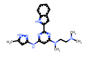 Cc1cc(Nc2cc(N(C)CCN(C)C)nc(-c3cc4ccccc4[nH]3)n2)n[nH]1